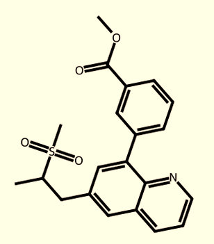 COC(=O)c1cccc(-c2cc(CC(C)S(C)(=O)=O)cc3cccnc23)c1